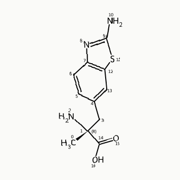 C[C@@](N)(Cc1ccc2nc(N)sc2c1)C(=O)O